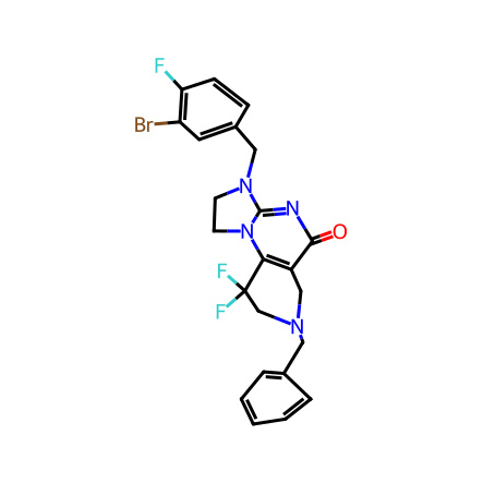 O=c1nc2n(c3c1CN(Cc1ccccc1)CC3(F)F)CCN2Cc1ccc(F)c(Br)c1